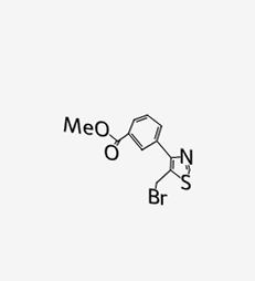 COC(=O)c1cccc(-c2ncsc2CBr)c1